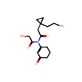 CCCC1(CC(=O)N(C(=O)CO)C2=CC(=O)CCC2)CC1